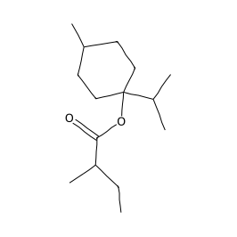 CCC(C)C(=O)OC1(C(C)C)CCC(C)CC1